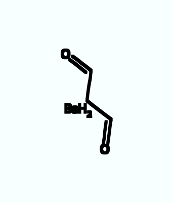 O=CCC=O.[BaH2]